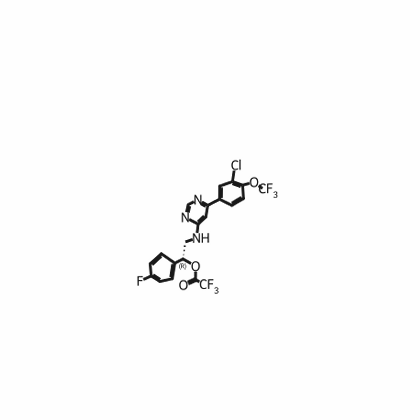 O=C(O[C@@H](CNc1cc(-c2ccc(OC(F)(F)F)c(Cl)c2)ncn1)c1ccc(F)cc1)C(F)(F)F